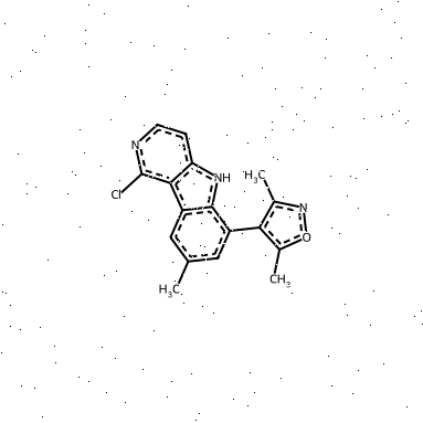 Cc1cc(-c2c(C)noc2C)c2[nH]c3ccnc(Cl)c3c2c1